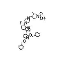 CC1CN(C(=O)OC(C)(C)C)CCC1CN1CCN(c2c(F)ccc3c(-c4ccc(OCc5ccccc5)nc4OCc4ccccc4)nn(C)c23)CC1